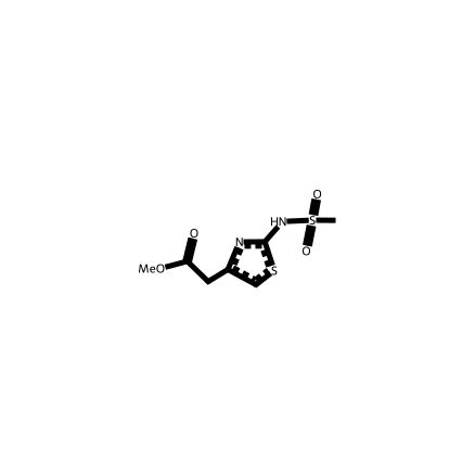 COC(=O)Cc1csc(NS(C)(=O)=O)n1